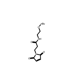 CCCCOCCNC(=O)CCN1C(=O)C=CC1=O